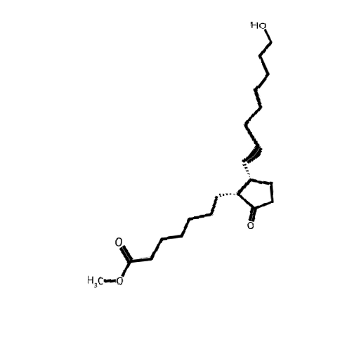 COC(=O)CCCCCC[C@H]1C(=O)CC[C@H]1C=CCCCCCCO